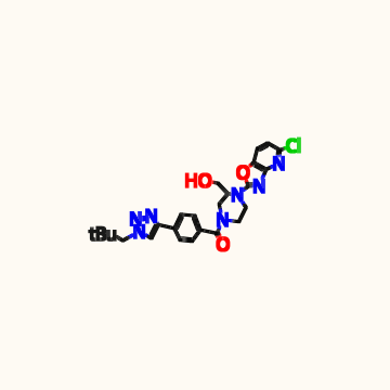 CC(C)(C)Cn1cc(-c2ccc(C(=O)N3CCN(c4nc5nc(Cl)ccc5o4)C(CO)C3)cc2)nn1